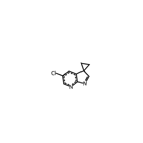 Clc1cnc2c(c1)C1(C=N2)CC1